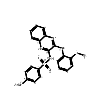 CCOc1ccccc1Nc1nc2ccccc2nc1NS(=O)(=O)c1ccc(NC(C)=O)cc1